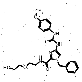 O=C(Nc1ccc(OC(F)(F)F)cc1)Nc1cn(Cc2ccccc2)c(C(=O)NCCOCCO)n1